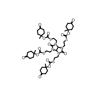 CC1(OC(=O)SCCN2C(=O)N(CCSC(=O)OC3(C)CCC(=O)CC3)C3C2N(CCSC(=O)OC2(C)CCC(=O)CC2)C(=O)N3CCSC(=O)OC2(C)CCC(=O)CC2)CCC(=O)CC1